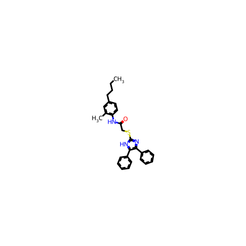 CCCCc1ccc(NC(=O)CSc2nc(-c3ccccc3)c(-c3ccccc3)[nH]2)c(C)c1